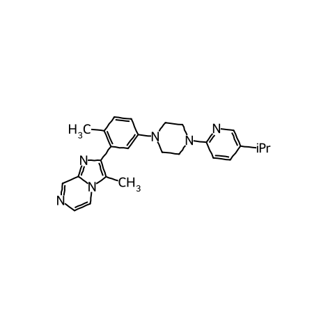 Cc1ccc(N2CCN(c3ccc(C(C)C)cn3)CC2)cc1-c1nc2cnccn2c1C